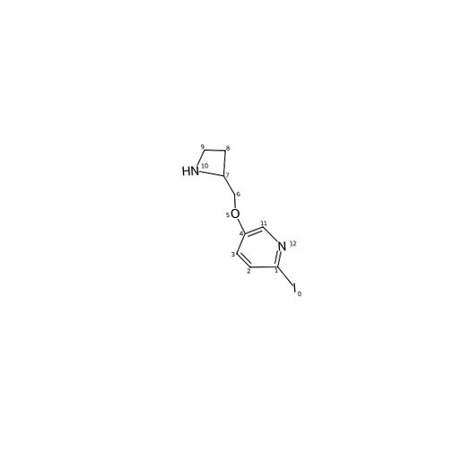 Ic1ccc(OCC2CCN2)cn1